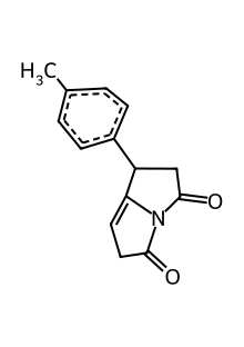 Cc1ccc(C2CC(=O)N3C(=O)CC=C23)cc1